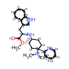 COC(=O)C(Cc1c[nH]c2ccccc12)NC1CCC(c2ccccn2)(N(C)C)CC1